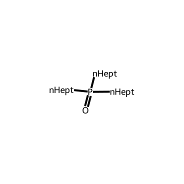 CCCCCCCP(=O)(CCCCCCC)CCCCCCC